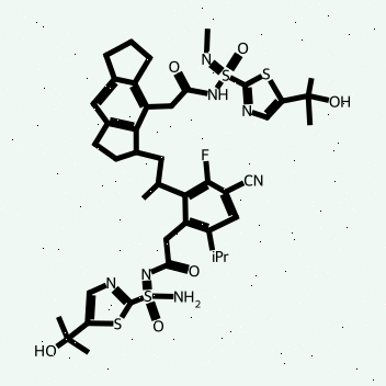 CN=S(=O)(NC(=O)Cc1c2c(cc3c1C(CC(C)c1c(F)c(C#N)cc(C(C)C)c1CC(=O)N=S(N)(=O)c1ncc(C(C)(C)O)s1)CC3)CCC2)c1ncc(C(C)(C)O)s1